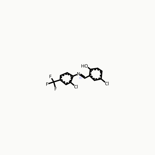 Oc1ccc(Cl)cc1/C=N/c1ccc(C(F)(F)F)cc1Cl